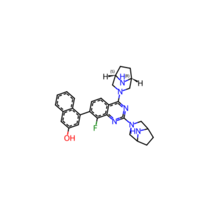 Oc1cc(-c2ccc3c(N4C[C@H]5CC[C@@H](C4)N5)nc(N4CC5CCC(C4)N5)nc3c2F)c2ccccc2c1